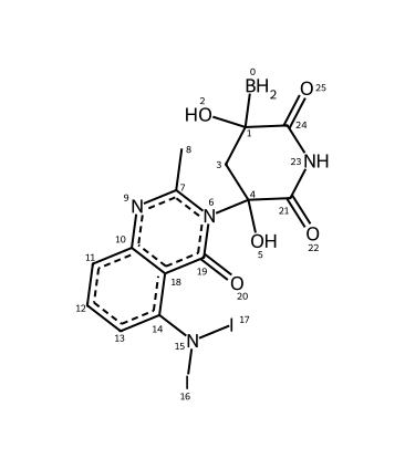 BC1(O)CC(O)(n2c(C)nc3cccc(N(I)I)c3c2=O)C(=O)NC1=O